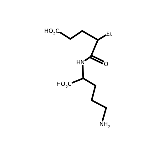 CCC(CCC(=O)O)C(=O)NC(CCCN)C(=O)O